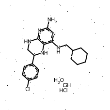 Cl.Cl.Nc1nc(NCC2CCCCC2)c2c(n1)NCC(c1ccc(Cl)cc1)N2.O